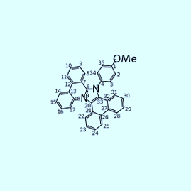 COc1ccc(-n2c(-c3ccccc3-c3ccccc3)nc3c4ccccc4c4ccccc4c32)cc1